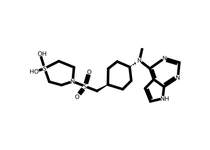 CN(c1ncnc2[nH]ccc12)[C@H]1CC[C@H](CS(=O)(=O)N2CCS(O)(O)CC2)CC1